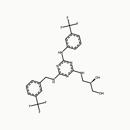 OC[C@H](O)CNc1nc(NCc2cccc(C(F)(F)F)c2)nc(Nc2cccc(C(F)(F)F)c2)n1